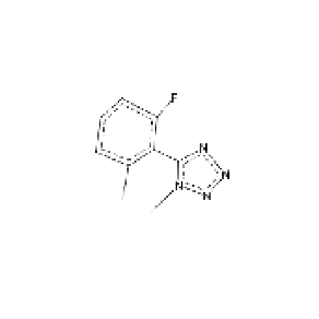 Cn1nnnc1-c1c(F)cccc1I